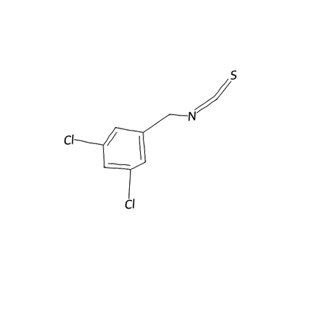 S=C=NCc1cc(Cl)cc(Cl)c1